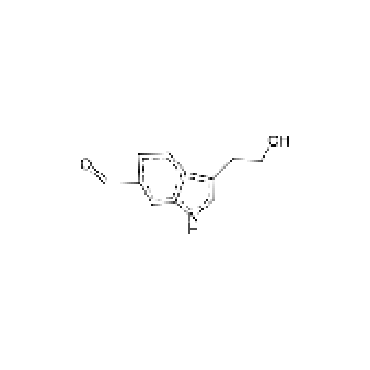 O=Cc1ccc2c(CCO)c[nH]c2c1